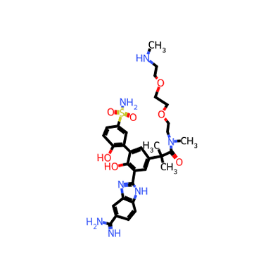 CNCCOCCOCCN(C)C(=O)C(C)(C)c1cc(-c2nc3cc(C(=N)N)ccc3[nH]2)c(O)c(-c2cc(S(N)(=O)=O)ccc2O)c1